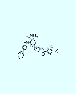 C[C@@H]1[C@H](NC(=O)c2ccc(C3CC3)c(Cl)c2)CCCN1c1cnc(C(N)=O)c(Nc2ccc(N3CCN(C)CC3)cc2)n1